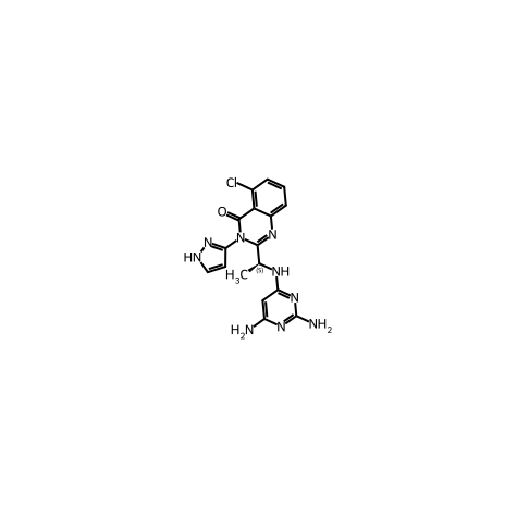 C[C@H](Nc1cc(N)nc(N)n1)c1nc2cccc(Cl)c2c(=O)n1-c1cc[nH]n1